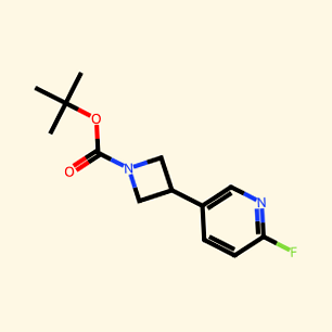 CC(C)(C)OC(=O)N1CC(c2ccc(F)nc2)C1